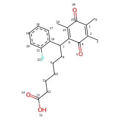 CC1=C(C)C(=O)C(C(CCCCCC(=O)O)c2ccccc2F)=C(C)C1=O